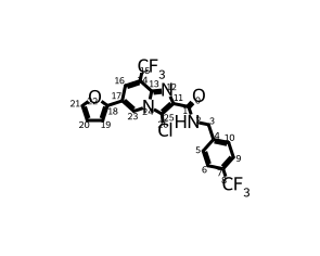 O=C(NCc1ccc(C(F)(F)F)cc1)c1nc2c(C(F)(F)F)cc(-c3ccco3)cn2c1Cl